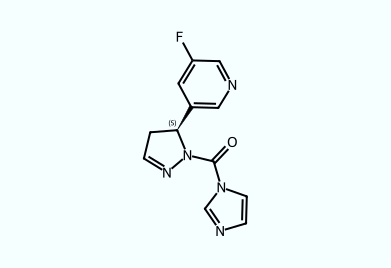 O=C(N1N=CC[C@H]1c1cncc(F)c1)n1ccnc1